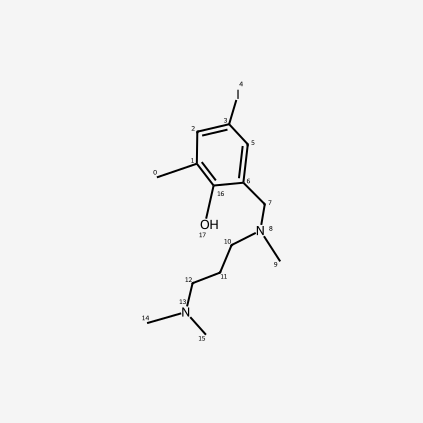 Cc1cc(I)cc(CN(C)CCCN(C)C)c1O